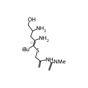 C=C(CS/C(=C(\N)CC(N)CO)C(C)CC)NC(=C)NC